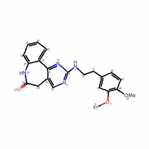 CCOc1cc(CCNc2ncc3c(n2)-c2ccccc2NC(=O)C3)ccc1OC